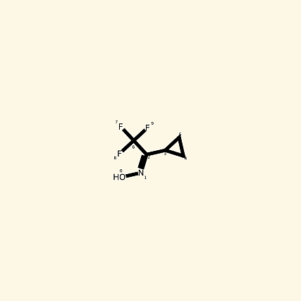 ON=C(C1CC1)C(F)(F)F